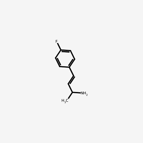 CC(N)C=Cc1ccc(F)cc1